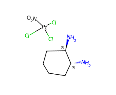 N[C@@H]1CCCC[C@H]1N.O=[N+]([O-])[Pt]([Cl])([Cl])[Cl]